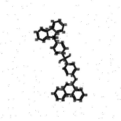 CC(C)(c1ccc(Cc2cc3ccccc3c3ccccc23)cc1)c1ccc(-n2c3ccccc3c3ccccc32)cc1